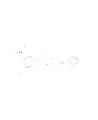 CSc1nc(C(N)=O)cc(N2CCC(NC(=O)c3cc(Br)c(C)[nH]3)CC2)n1